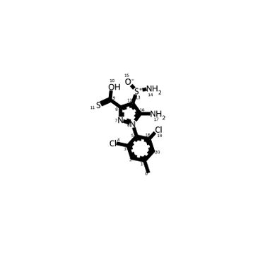 Cc1cc(Cl)c(-n2nc(C(O)=S)c([S+](N)[O-])c2N)c(Cl)c1